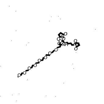 COCCOCCOCCOCCOCCOCCOCCOCCC(=O)N[C@H](CCCCN1C(=O)C=CC1=O)C(=O)ON1C(=O)CCC1=O